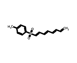 C=CC=CC=CC=CS(=O)(=O)c1ccc(C)cc1